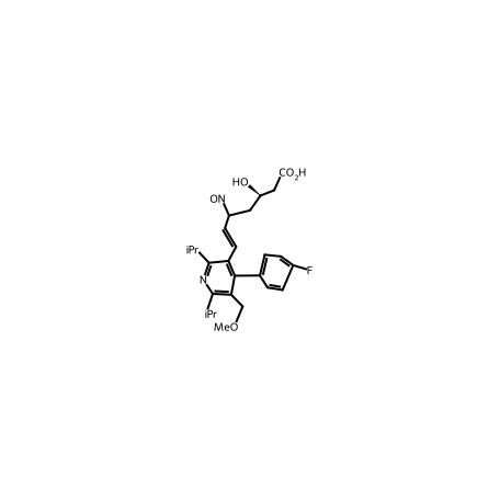 COCc1c(C(C)C)nc(C(C)C)c(/C=C/C(C[C@@H](O)CC(=O)O)N=O)c1-c1ccc(F)cc1